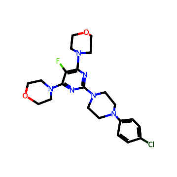 Fc1c(N2CCOCC2)nc(N2CCN(c3ccc(Cl)cc3)CC2)nc1N1CCOCC1